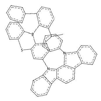 CC(C)c1cccc(-c2ccccc2)c1B1c2ccccc2Sc2cc(-n3c4ccccc4c4ccc5c6ccccc6n(-c6ccccc6)c5c43)ccc21